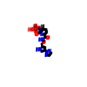 O=C(NOC[C@@H]1C[C@H](n2nccn2)CN1)[C@@H]1CC[C@@H]2CN1C(=O)N2OS(=O)(=O)O